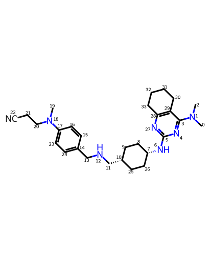 CN(C)c1nc(N[C@H]2CC[C@@H](CNCc3ccc(N(C)CCC#N)cc3)CC2)nc2c1CCCC2